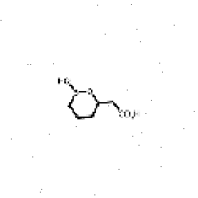 O=C(O)CC1CCCB(O)O1